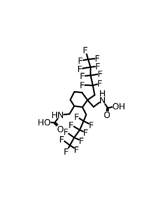 O=C(O)NCC1CCCC(CNC(=O)O)(CC(F)(F)C(F)(F)C(F)(F)C(F)(F)F)C1CC(F)(F)C(F)(F)C(F)(F)C(F)(F)F